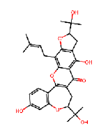 CC(C)=CCc1c2c(c(O)c3c(=O)c4c(oc13)-c1ccc(O)cc1OC(C(C)(C)O)C4)CC(C(C)(C)O)O2